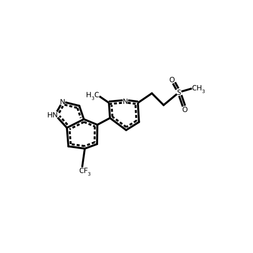 Cc1nc(CCS(C)(=O)=O)ccc1-c1cc(C(F)(F)F)cc2[nH]ncc12